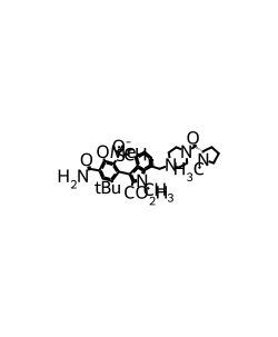 COc1c(C(N)=O)cc(C(C)(C)C)c(-c2c(C(=O)O)n(C)c3c(CN4CCN(C(=O)[C@@H]5CCCN5C)CC4)cccc23)c1[S+](C)[O-]